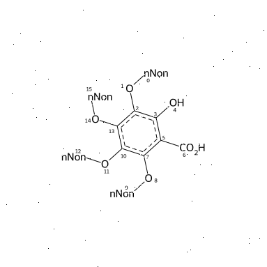 CCCCCCCCCOc1c(O)c(C(=O)O)c(OCCCCCCCCC)c(OCCCCCCCCC)c1OCCCCCCCCC